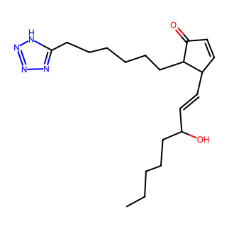 CCCCCC(O)C=CC1C=CC(=O)C1CCCCCCc1nnn[nH]1